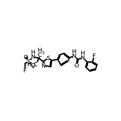 CC(C)(NS(=O)(=O)CF)c1ncc(-c2ccc(NC(=O)Nc3ccccc3F)cc2)s1